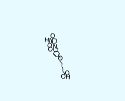 O=C(O)CCCCCOc1ccc2c(c1)CN(C1CCC(=O)NC1=O)C2=O